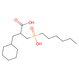 CCCCCCP(=O)(O)CC(CC1CCCCC1)C(=O)O